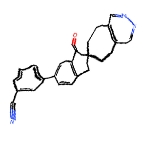 N#Cc1cccc(-c2ccc3c(c2)C(=O)C2(CCc4cnncc4CC2)C3)c1